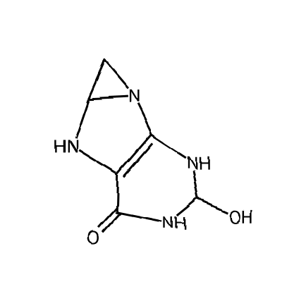 O=C1NC(O)NC2=C1NC1CN21